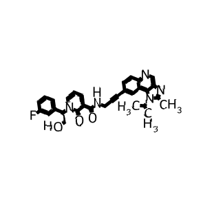 Cc1nc2cnc3ccc(C#CCNC(=O)c4cccn([C@@H](CO)c5cccc(F)c5)c4=O)cc3c2n1C(C)C